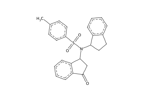 Cc1ccc(S(=O)(=O)N(C2CCc3ccccc32)C2CC(=O)c3ccccc32)cc1